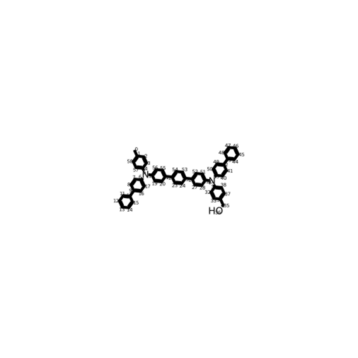 Cc1ccc(N(c2ccc(-c3ccccc3)cc2)c2ccc(-c3ccc(-c4ccc(N(c5ccc(CO)cc5)c5ccc(-c6ccccc6)cc5)cc4)cc3)cc2)cc1